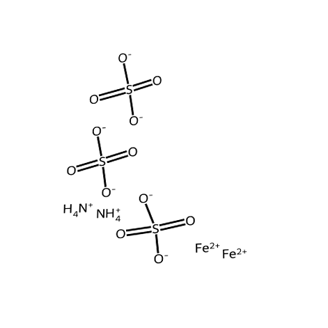 O=S(=O)([O-])[O-].O=S(=O)([O-])[O-].O=S(=O)([O-])[O-].[Fe+2].[Fe+2].[NH4+].[NH4+]